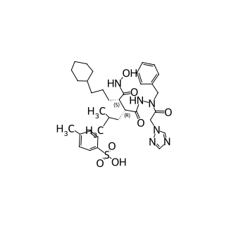 CC(C)C[C@@H](C(=O)NN(Cc1ccccc1)C(=O)Cn1cncn1)[C@H](CCCC1CCCCC1)C(=O)NO.Cc1ccc(S(=O)(=O)O)cc1